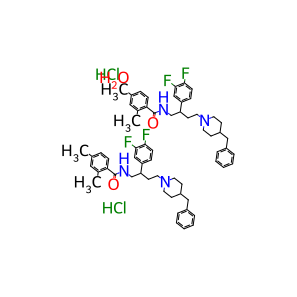 Cc1ccc(C(=O)NCC(CCN2CCC(Cc3ccccc3)CC2)c2ccc(F)c(F)c2)c(C)c1.Cc1ccc(C(=O)NCC(CCN2CCC(Cc3ccccc3)CC2)c2ccc(F)c(F)c2)c(C)c1.Cl.Cl.O